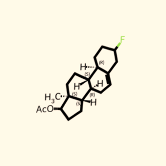 CC(=O)OC1CC[C@H]2[C@@H]3CC=C4CC(F)CC[C@@H]4[C@H]3CC[C@]12C